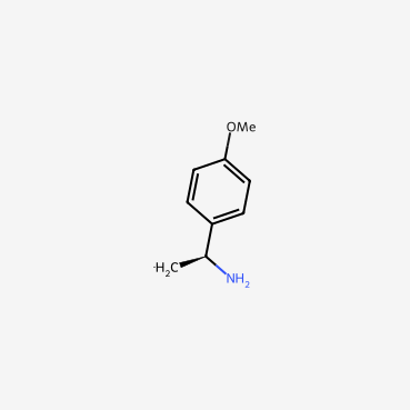 [CH2][C@H](N)c1ccc(OC)cc1